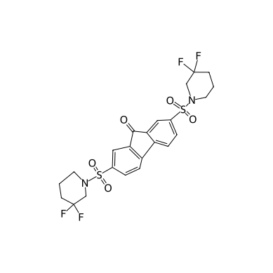 O=C1c2cc(S(=O)(=O)N3CCCC(F)(F)C3)ccc2-c2ccc(S(=O)(=O)N3CCCC(F)(F)C3)cc21